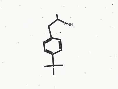 [CH2]C(N)Cc1ccc(C(C)(C)C)cc1